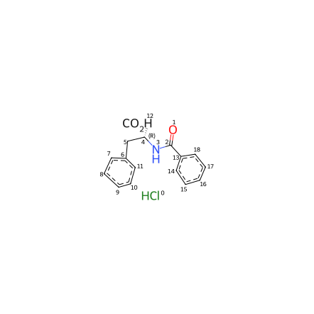 Cl.O=C(N[C@H](Cc1ccccc1)C(=O)O)c1ccccc1